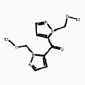 CCOCn1nccc1C(=O)c1ccnn1COCC